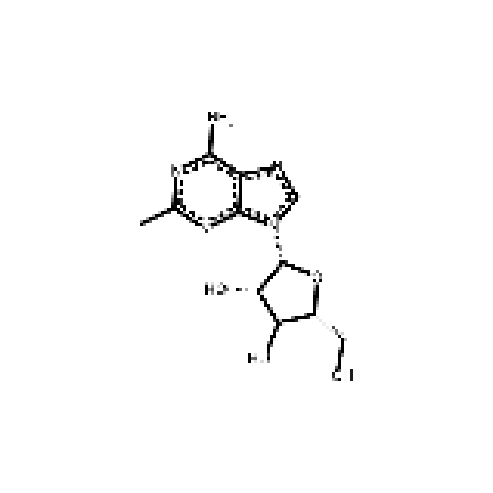 Cc1nc(N)c2ncn([C@@H]3O[C@H](CO)C(O)[C@@H]3O)c2n1